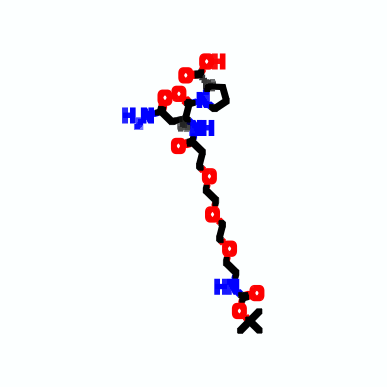 CC(C)(C)OC(=O)NCCOCCOCCOCCC(=O)N[C@@H](CC(N)=O)C(=O)N1CCC[C@H]1C(=O)O